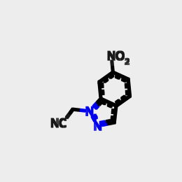 N#CCn1ncc2ccc([N+](=O)[O-])cc21